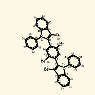 BrC1=C(c2cc(Br)c(C3=C(Br)c4ccccc4B3c3ccccc3)cc2Br)B(c2ccccc2)c2ccccc21